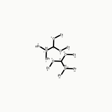 CCC[SiH](CCC)C(OCC)OCC.CCOC(OCC)[SiH](C(C)C)C(C)C